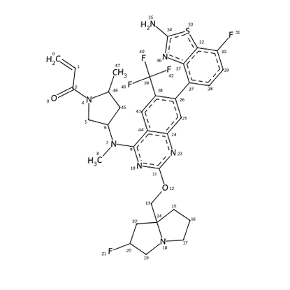 C=CC(=O)N1CC(N(C)c2nc(OCC34CCCN3CC(F)C4)nc3cc(-c4ccc(F)c5sc(N)nc45)c(C(F)(F)F)cc23)CC1C